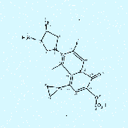 Cc1c(N2C[C@H](N)[C@@H](C(F)(F)F)C2)c(F)cn2c(=O)c(OC(=O)O)cc(C3CC3)c12